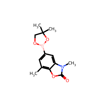 Cc1cc(B2OCC(C)(C)O2)cc2c1oc(=O)n2C